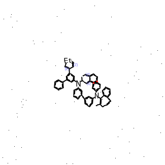 C/C=c1/cccc/c1=C/C(C)N(c1cccc(-c2cccc(N(C3=C(C)CC=Cc4ccccc43)c3ccccc3)c2)c1)c1cc(C(/C=C\CC)=C/C)cc(-c2ccccc2)c1